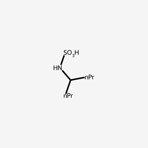 [CH2]CCC(CCC)NS(=O)(=O)O